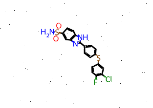 NS(=O)(=O)c1ccc2[nH]c(-c3ccc(Sc4ccc(F)c(Cl)c4)cc3)nc2c1